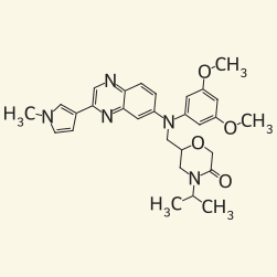 COc1cc(OC)cc(N(CC2CN(C(C)C)C(=O)CO2)c2ccc3ncc(-c4ccn(C)c4)nc3c2)c1